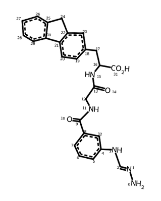 NN=CNc1cccc(C(=O)NCC(=O)NC(Cc2ccc3c(c2)Cc2ccccc2-3)C(=O)O)c1